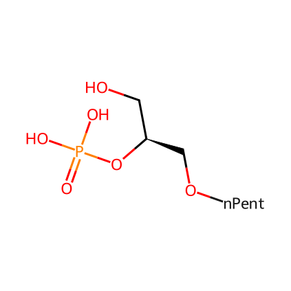 CCCCCOC[C@H](CO)OP(=O)(O)O